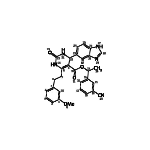 COc1cccc(CCC2=C(C(=O)OC(C)c3cccc(C#N)c3)C(c3ccc4[nH]cnc4c3)NC(=O)N2)c1